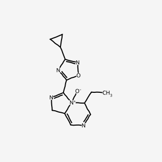 CCC1C=NC=C2CN=C(c3nc(C4CC4)no3)[N+]21[O-]